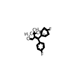 CC(C)(C)C(C=O)=C(c1ccc(F)cc1)c1ccc(F)cc1